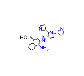 Nc1c(/N=N/c2ccc(-c3cccnc3)nc2-c2cccnc2)cc(S(=O)(=O)O)c2ccccc12